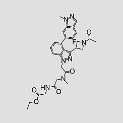 CCOC(=O)CNC(=O)CN(C)C(=O)Cn1nc(C2CN(C(C)=O)C2)c2c(-c3cc4c(cnn4C)cc3F)cccc21